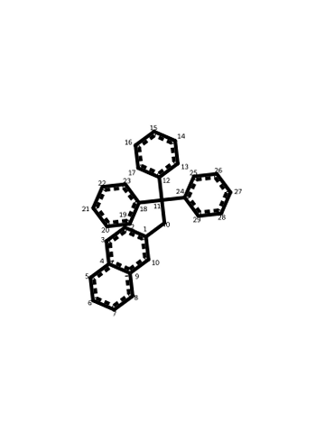 [CH](c1ccc2ccccc2c1)C(c1ccccc1)(c1ccccc1)c1ccccc1